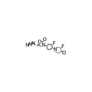 [N-]=[N+]=NC[C@H]1CN(c2ccc(N3CCC(=O)C(F)C3)c(F)c2)C(=O)O1